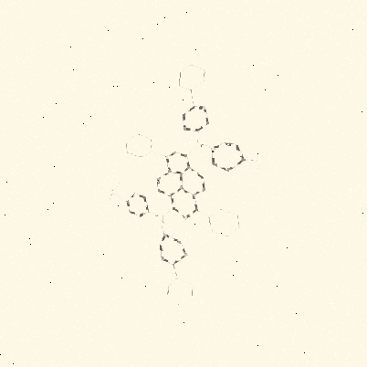 C[Si](C)(C)c1ccc(N(c2ccc(C3CCCCC3)cc2)c2cc(C3CCCCC3)c3ccc4c(N(c5ccc(C6CCCCC6)cc5)c5ccc([Si](C)(C)C)cc5)cc(C5CCCCC5)c5ccc2c3c54)cc1